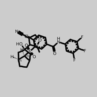 CN1OCC(C#N)C1[C@]1(O)CC2CC[C@@H](C1)[C@H]2S(=O)(=O)c1cc(C(=O)Nc2cc(F)c(F)c(F)c2)ccc1Cl